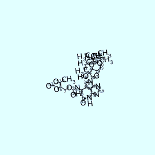 Cc1oc(=O)oc1COC(=O)NC1=CC(=O)Nc2ncnc3c2c1cn3C1OC2CO[Si](C(C)(C)C)(C(C)(C)C)OC2C1(C)O